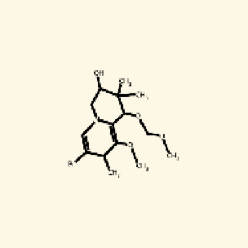 COCOC1C2=C(OC)C(C)C(Br)=CN2CC(O)C1(C)C